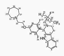 C[C@@H]1Cc2c([nH]c3ccccc23)[C@@H](c2c(F)cc(OCCN3CCCCCC3)cc2F)N1CC(C)(C)F